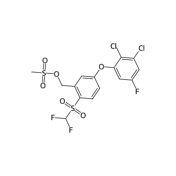 CS(=O)(=O)OCc1cc(Oc2cc(F)cc(Cl)c2Cl)ccc1S(=O)(=O)C(F)F